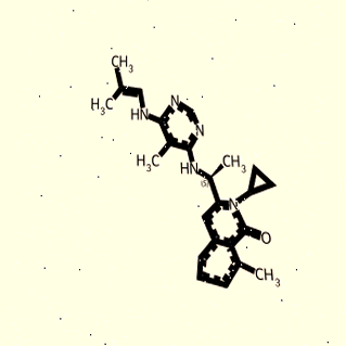 CC(C)=CNc1ncnc(N[C@@H](C)c2cc3cccc(C)c3c(=O)n2C2CC2)c1C